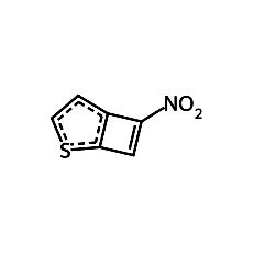 O=[N+]([O-])C1=Cc2sccc21